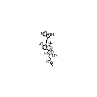 CCOC(=O)CCC(NC(=O)c1ccc(OC)c(C#Cc2c[nH]c3ncncc23)c1C(=O)C(C)(C)C)C(=O)OCC